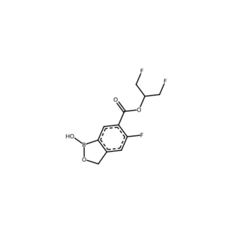 O=C(OC(CF)CF)c1cc2c(cc1F)COB2O